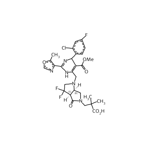 COC(=O)C1=C(CN2CC(F)(F)[C@@H]3C(=O)N(CC(C)(C)C(=O)O)C[C@@H]32)NC(c2ncoc2C)=NC1c1ccc(F)cc1Cl